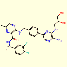 Cc1cnc(NCc2ccc(-c3cnc(N)c(NCC(O)CO)n3)cc2)c(C(=O)N[C@@H](C)c2ccc(F)c(F)c2)n1